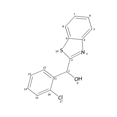 OC(c1nc2ccccc2s1)c1ccccc1Cl